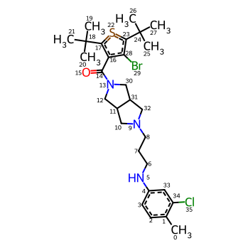 Cc1ccc(NCCCN2CC3CN(C(=O)c4c(C(C)(C)C)sc(C(C)(C)C)c4Br)CC3C2)cc1Cl